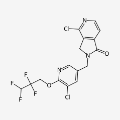 O=C1c2ccnc(Cl)c2CN1Cc1cnc(OCC(F)(F)C(F)F)c(Cl)c1